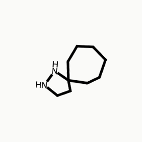 C1CCCC2(CC1)CCNN2